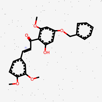 COc1ccc(/C=C/C(=O)c2c(O)cc(OCc3ccccc3)cc2OC)cc1OC